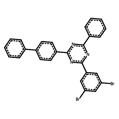 Brc1cc(Br)cc(-c2nc(-c3ccccc3)nc(-c3ccc(-c4ccccc4)cc3)n2)c1